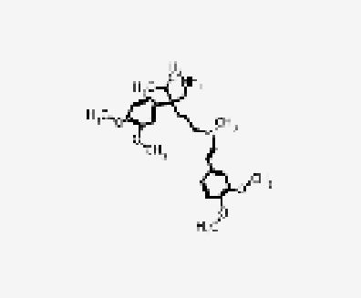 COc1ccc(C=CN(C)CCCC(CN)(c2ccc(OC)c(OC)c2)C(C)C)cc1OC